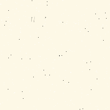 CON(C)CC[CH]c1ccc2ccccc2c1